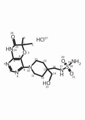 CC1(C)Oc2c(ncnc2N2CCC(CO)(CNS(N)(=O)=O)CC2)NC1=O.Cl